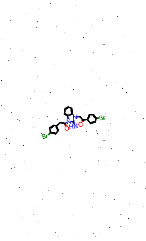 N=c1n(CC(=O)c2ccc(Br)cc2)c2ccccc2n1C(=O)Cc1ccc(Br)cc1